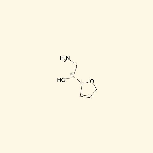 NC[C@@H](O)C1C=CCO1